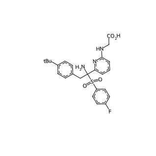 CC(C)(C)c1ccc(CC(N)(c2cccc(NCC(=O)O)n2)S(=O)(=O)c2ccc(F)cc2)cc1